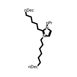 CCCCCCCCCCCCCCCC[n+]1ccn(CCC)c1CCCCCCCCCCCCCCC